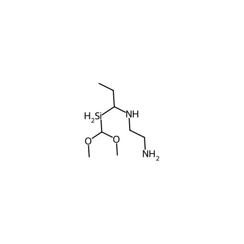 CCC(NCCN)[SiH2]C(OC)OC